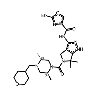 CCc1nc(C(=O)Nc2n[nH]c3c2CN(C(=O)N2C[C@@H](C)N(CC4CCOCC4)C[C@@H]2C)C3(C)C)co1